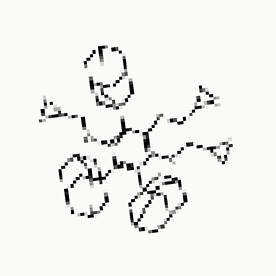 C1C2CC3CC1CC(c1c(OCC4CO4)c(OCC4CO4)c(C45CC6CC(CC(C6)C4)C5)c(C45CC6CC(CC(C6)C4)C5)c1OCC1CO1)(C2)C3